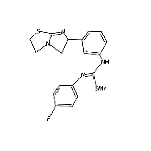 CSC(=Nc1ccc(F)cc1)Nc1cccc(C2CN3CCSC3=N2)c1